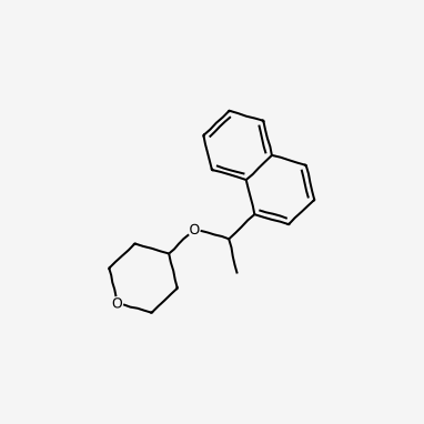 CC(OC1CCOCC1)c1cccc2ccccc12